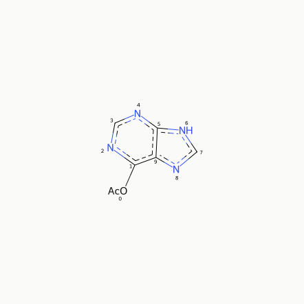 CC(=O)Oc1ncnc2[nH]cnc12